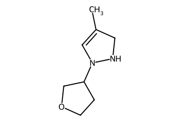 CC1=CN(C2CCOC2)NC1